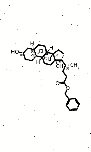 C[C@H](CCC(=O)OCc1ccccc1)[C@H]1CC[C@H]2[C@@H]3CC[C@@H]4C[C@H](O)CC[C@]4(C)[C@H]3CC[C@]12C